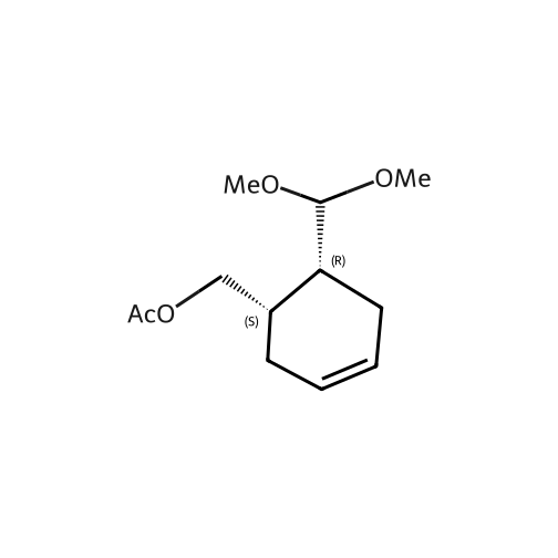 COC(OC)[C@@H]1CC=CC[C@@H]1COC(C)=O